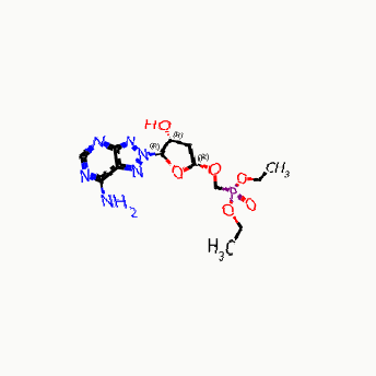 CCOP(=O)(CO[C@@H]1C[C@@H](O)[C@H](n2nc3ncnc(N)c3n2)O1)OCC